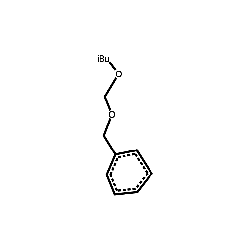 CCC(C)OCOCc1ccccc1